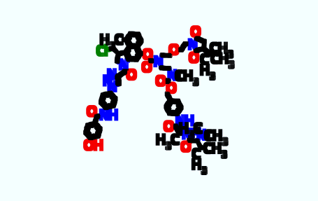 Cc1cccc2c(OC(=O)N(CCOCCN3C(=O)CC(C(C)(C)C)C3=O)CCN(C)C(=O)OCc3ccc(NC(=O)[C@H](C)NC(=O)[C@H](C(C)C)N(C)C)cc3)cc3c(c12)[C@H](CCl)CN3C(=O)c1cn(-c2ccc(NC(=O)c3ccc(O)cc3)cc2)nn1